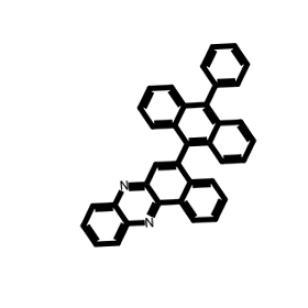 c1ccc(-c2c3ccccc3c(-c3cc4nc5ccccc5nc4c4ccccc34)c3ccccc23)cc1